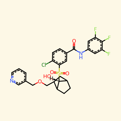 O=C(Nc1cc(F)c(F)c(F)c1)c1ccc(Cl)c(S(=O)(=O)[C@@H]2C3CCC2[C@@](O)(COCc2cccnc2)C3)c1